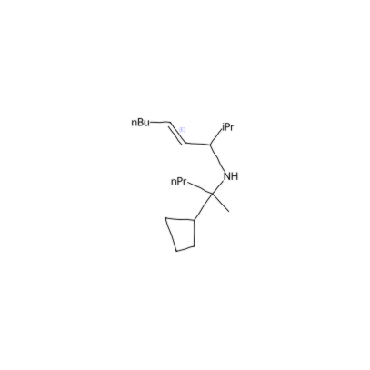 CCCC/C=C/C(NC(C)(CCC)C1CCC1)C(C)C